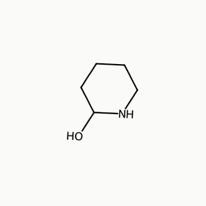 OC1CCCCN1